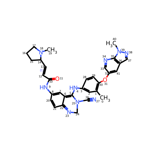 Cc1cc(NC2=c3cc(NC(=O)/C=C/C4CCCN4C)ccc3=NCN2C#N)ccc1Oc1cnc2c(cnn2C)c1